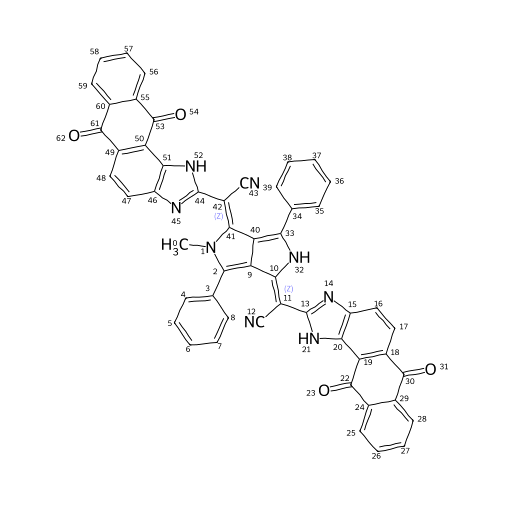 Cn1c(-c2ccccc2)c2/c(=C(\C#N)c3nc4ccc5c(c4[nH]3)C(=O)c3ccccc3C5=O)[nH]c(-c3ccccc3)c2/c1=C(\C#N)c1nc2ccc3c(c2[nH]1)C(=O)c1ccccc1C3=O